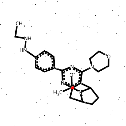 CCNNc1ccc(-c2nc3c(c(N4CCOCC4)n2)C2CCC(C3)N2[S+](C)[O-])cc1